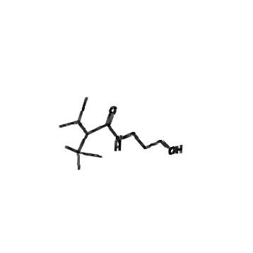 CC(C)C(C(=O)NCCCO)C(C)(C)C